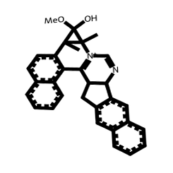 COC1(O)C2(C)c3ccc4ccccc4c3C3=[N+](C=NC4c5cc6ccccc6cc5CC34)C12C